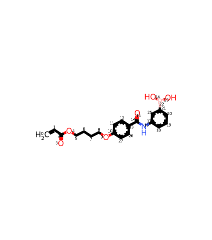 C=CC(=O)OCCCCOc1ccc(C(=O)Nc2cccc(B(O)O)c2)cc1